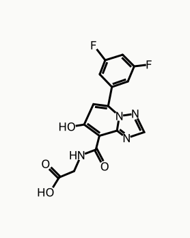 O=C(O)CNC(=O)c1c(O)cc(-c2cc(F)cc(F)c2)n2ncnc12